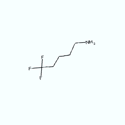 NCCCCC(F)(F)F